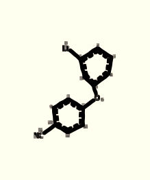 CCc1cccc(Oc2ccc(C#N)cc2)c1